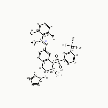 C/C(=C\c1ccc2c(c1)N(S(=O)(=O)c1cccc(C(F)(F)F)c1)[C@H](C)[C@H](Cn1ccnn1)C2)c1c(F)cccc1Cl